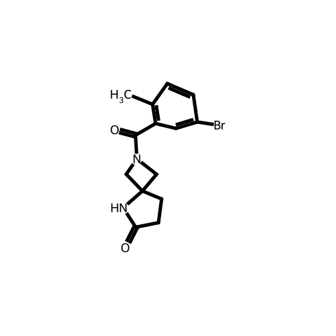 Cc1ccc(Br)cc1C(=O)N1CC2(CCC(=O)N2)C1